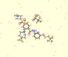 O=C(Nc1cccc(OCCC(F)(F)F)n1)c1ccc(S(=O)(=O)C2CNC2)cc1N1CCC2(CC1)CC2.O=C(O)C(F)(F)F